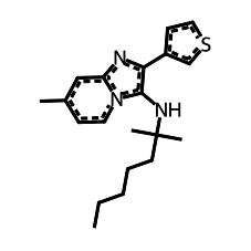 CCCCCC(C)(C)Nc1c(-c2ccsc2)nc2cc(C)ccn12